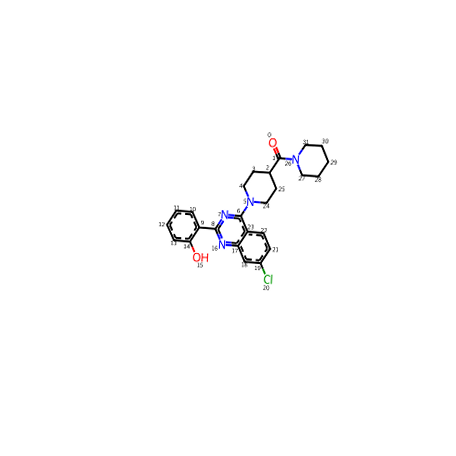 O=C(C1CCN(c2nc(-c3ccccc3O)nc3cc(Cl)ccc23)CC1)N1CCCCC1